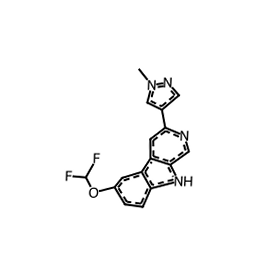 Cn1cc(-c2cc3c(cn2)[nH]c2ccc(OC(F)F)cc23)cn1